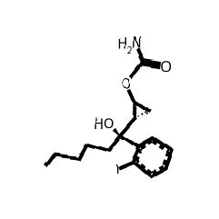 CCCCC[C@@](O)(c1ccccc1I)[C@H]1CC1OC(N)=O